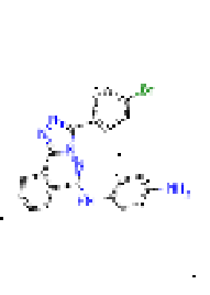 Nc1ccc(Nc2nn3c(-c4ccc(Br)cc4)nnc3c3ccccc23)cc1